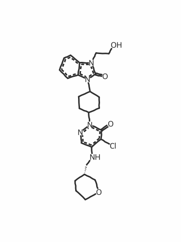 O=c1c(Cl)c(NC[C@H]2CCCOC2)cnn1C1CCC(n2c(=O)n(CCO)c3ccccc32)CC1